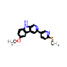 COc1ccc2[nH]c3cnc(-c4ccc(SC)nc4)cc3c2c1